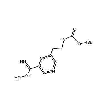 CC(C)(C)OC(=O)NCCc1cncc(C(=N)NO)n1